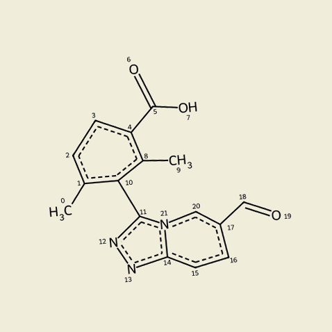 Cc1ccc(C(=O)O)c(C)c1-c1nnc2ccc(C=O)cn12